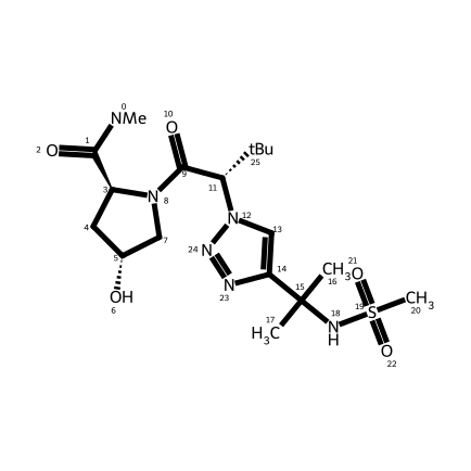 CNC(=O)[C@@H]1C[C@@H](O)CN1C(=O)[C@@H](n1cc(C(C)(C)NS(C)(=O)=O)nn1)C(C)(C)C